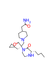 CCCC[C@@H]1NCCN([C@](C=O)(CC2CC2)CN2CCC(CC(N)=O)CC2)C1=O